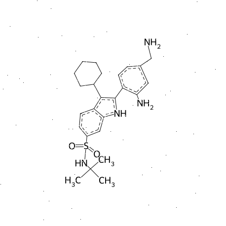 CC(C)(C)NS(=O)(=O)c1ccc2c(C3CCCCC3)c(-c3ccc(CN)cc3N)[nH]c2c1